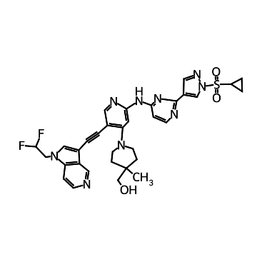 CC1(CO)CCN(c2cc(Nc3ccnc(-c4cnn(S(=O)(=O)C5CC5)c4)n3)ncc2C#Cc2cn(CC(F)F)c3ccncc23)CC1